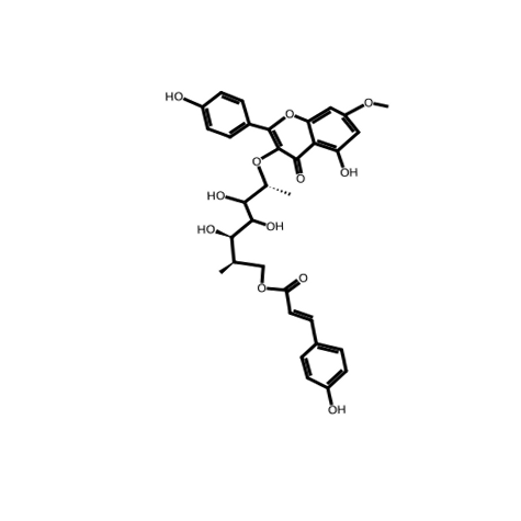 COc1cc(O)c2c(=O)c(O[C@H](C)C(O)C(O)[C@H](O)[C@H](C)COC(=O)/C=C/c3ccc(O)cc3)c(-c3ccc(O)cc3)oc2c1